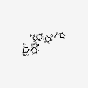 COc1cc(F)cc(-c2cccc3[nH]c(-c4n[nH]c5ccc(-c6cncc(OCCN7CCCC7)c6)nc45)nc23)c1